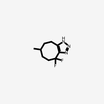 CC1CCc2[nH]nnc2C(F)(F)CC1